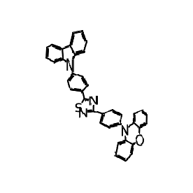 c1ccc2c(c1)Oc1ccccc1N2c1ccc(-c2nsc(-c3ccc(-n4c5ccccc5c5ccccc54)cc3)n2)cc1